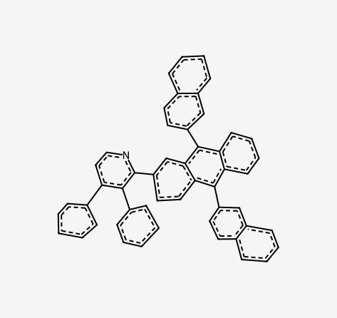 c1ccc(-c2ccnc(-c3ccc4c(-c5ccc6ccccc6c5)c5ccccc5c(-c5ccc6ccccc6c5)c4c3)c2-c2ccccc2)cc1